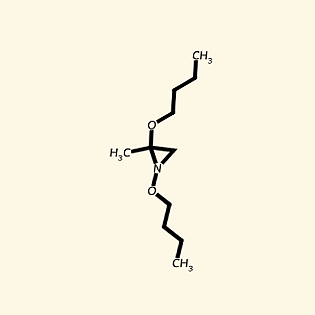 CCCCON1CC1(C)OCCCC